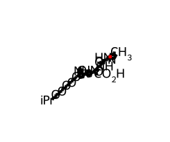 Cc1ccnc(NCCCC(=O)NCC(=O)N[C@@H](CC(=O)O)c2ccc(-c3ccc(OCCOCCOCCOCCOCCC(C)C)c4ncoc34)cc2)c1